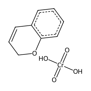 C1=Cc2ccccc2OC1.[O]=[Cr](=[O])([OH])[OH]